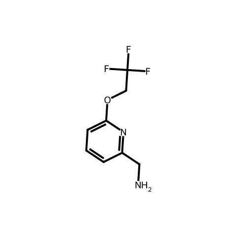 NCc1cccc(OCC(F)(F)F)n1